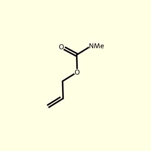 C=CCOC(=O)NC